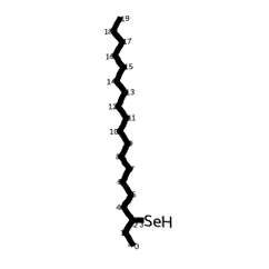 [CH2]CC([SeH])CCCCCCCCCCCCCCCC